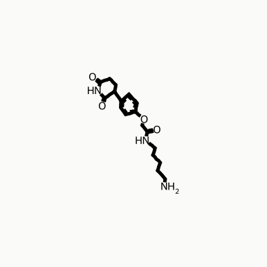 NCCCCCNC(=O)COc1ccc(C2CCC(=O)NC2=O)cc1